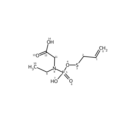 C=CCSOP(=O)(O)N(CC)CC(=O)O